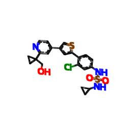 O=S(=O)(Nc1ccc(-c2cc(-c3ccnc(C4(CO)CC4)c3)cs2)c(Cl)c1)NC1CC1